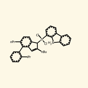 CCCCC1=Cc2c(ccc(CCC)c2-c2ccccc2C(C)C)[CH]1[Zr]([Cl])([Cl])[c]1cccc2c1[SiH2]c1ccccc1-2